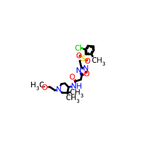 COCCN1CCC(NC(=O)Cc2nc(CS(=O)(=O)c3c(C)cccc3Cl)no2)C(C)(C)C1